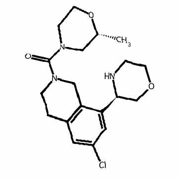 C[C@@H]1CN(C(=O)N2CCc3cc(Cl)cc([C@@H]4COCCN4)c3C2)CCO1